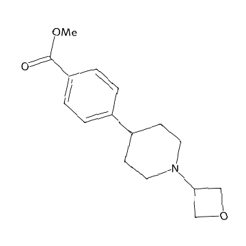 COC(=O)c1ccc(C2CCN(C3COC3)CC2)cc1